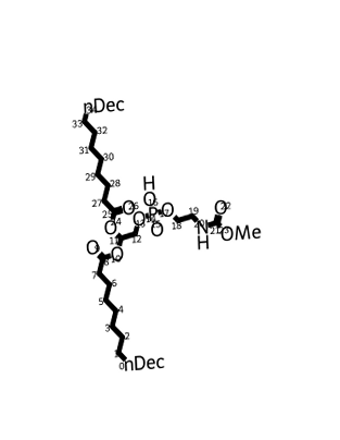 CCCCCCCCCCCCCCCCCC(=O)OC(COP(=O)(O)OCCNC(=O)OC)OC(=O)CCCCCCCCCCCCCCCCC